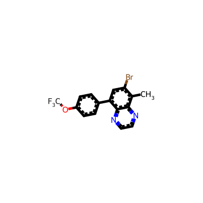 Cc1c(Br)cc(-c2ccc(OC(F)(F)F)cc2)c2nccnc12